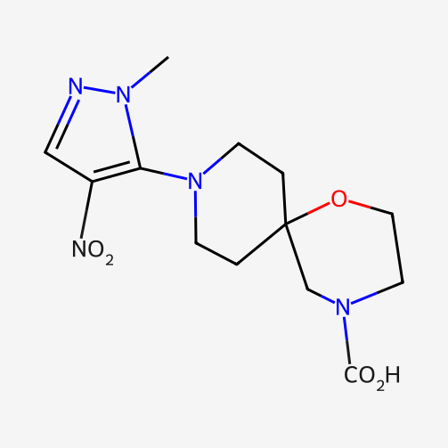 Cn1ncc([N+](=O)[O-])c1N1CCC2(CC1)CN(C(=O)O)CCO2